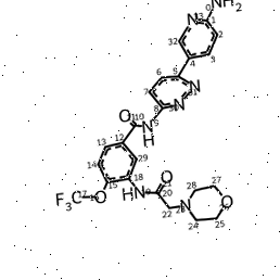 Nc1ccc(-c2ccc(NC(=O)c3ccc(OC(F)(F)F)c(NC(=O)CN4CCOCC4)c3)nn2)cn1